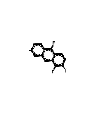 Fc1[c]cc2c(F)c3cc[c]cc3cc2c1F